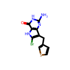 Nc1nc2c(Cc3ccsc3)c(Br)[nH]c2c(=O)[nH]1